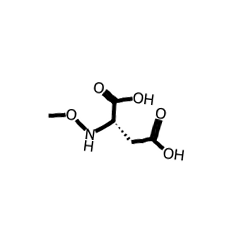 CON[C@@H](CC(=O)O)C(=O)O